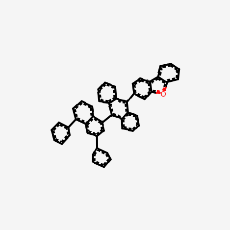 c1ccc(-c2cc(-c3c4ccccc4c(-c4ccc5c(c4)oc4ccccc45)c4ccccc34)c3cccc(-c4ccccc4)c3c2)cc1